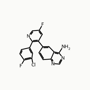 Nc1ncnc2ccc(-c3cc(F)cnc3-c3ccc(F)c(Cl)c3)cc12